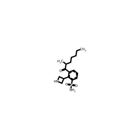 CCCCCC(C)C(=O)c1cccc(S(N)(=O)=O)c1C1CNC1